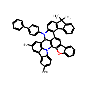 CCCCc1ccc2c(c1)c1cc(CCCC)cc3c1n2-c1c2c(cc4c1oc1ccccc14)-c1c(ccc4c1-c1ccccc1C4(C)C)N(c1ccc(-c4ccccc4)cc1)B23